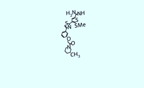 CSc1sc(C(=N)N)cc1-c1nc(-c2cccc(OCC(=O)N3CCCC(C)C3)c2)cs1